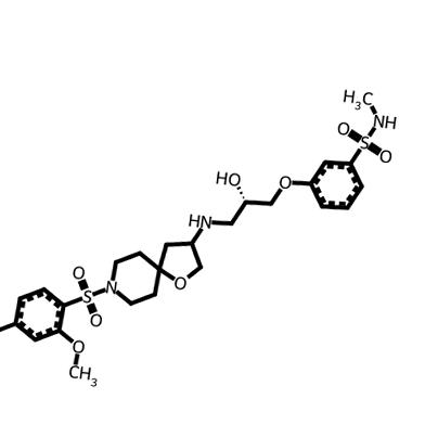 CNS(=O)(=O)c1cccc(OC[C@@H](O)CNC2COC3(CCN(S(=O)(=O)c4ccc(C)cc4OC)CC3)C2)c1